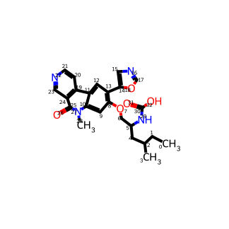 CCC(C)CC(COc1cc2c(cc1-c1cnco1)c1ccncc1c(=O)n2C)NC(=O)O